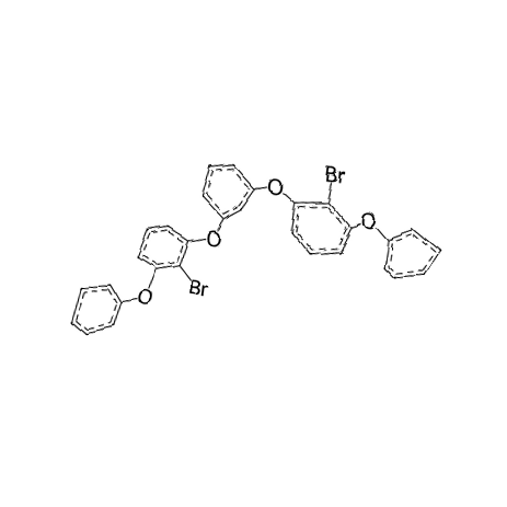 Brc1c(Oc2ccccc2)cccc1Oc1cccc(Oc2cccc(Oc3ccccc3)c2Br)c1